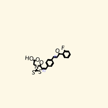 O=C(O)CN1C(=O)/C(=C\c2ccc(/C=C/C(=O)c3ccccc3F)cc2)SC1=S